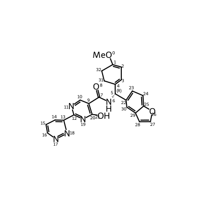 COC1=CC=C([C@@H](NC(=O)c2cnc(-c3cccnn3)nc2O)c2ccc3occc3c2)CC1